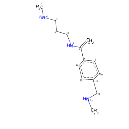 C=C(NCCCNC)c1ccc(CNC)cc1